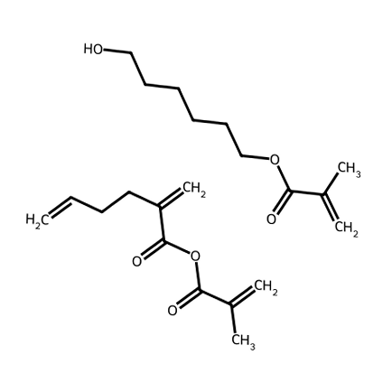 C=C(C)C(=O)OCCCCCCO.C=CCCC(=C)C(=O)OC(=O)C(=C)C